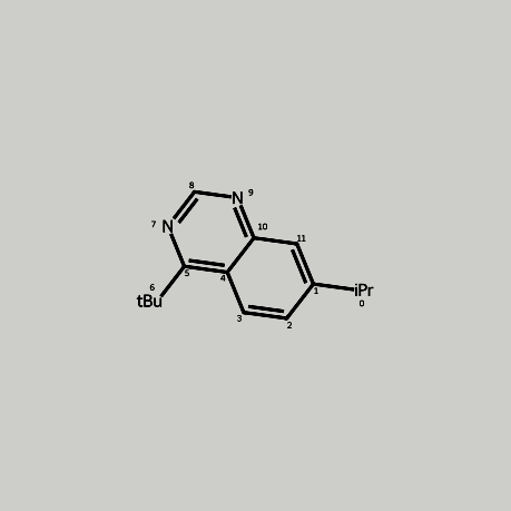 CC(C)c1ccc2c(C(C)(C)C)ncnc2c1